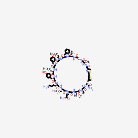 CC(C)C[C@@H]1NC(=O)[C@H](CC(=O)O)NC(=O)[C@H](CCC(N)=O)NC(=O)[C@H](CC(=O)O)NC(=O)[C@H](CCCCN)NC(=O)[C@H](Cc2ccc(O)cc2)NC(=O)[C@H](CC(=O)O)NC(=O)[C@H](Cc2ccc(O)cc2)NC(=O)[C@H](CCC(=O)O)NC(=O)[C@H](Cc2ccccc2)NC(=O)[C@H](C)NC(=O)CNC(=O)[C@H](C)NC(=O)[C@@H]2CSC(=N2)c2cc(cs2)C[C@H](C(N)=O)NC1=O